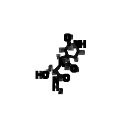 NC(=O)[C@H](CO)N1CC2(CCNC(=O)C2)C1=O